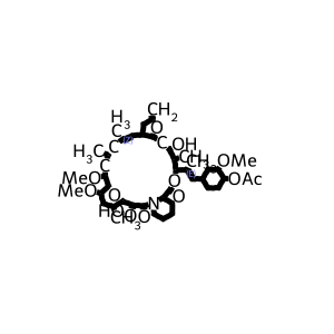 C=CCC1/C=C(/C)CC(C)CC(OC)C2OC(O)(C(=O)C(=O)N3CCCCC3C(=O)OC(/C(C)=C/C3CCC(OC(C)=O)C(OC)C3)C(C)C(O)CC1=O)C(C)CC2OC